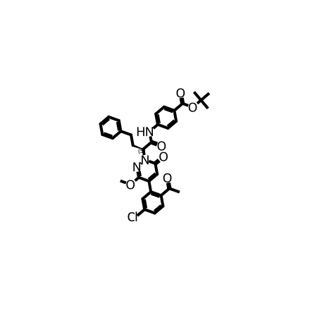 COc1nn([C@@H](CCc2ccccc2)C(=O)Nc2ccc(C(=O)OC(C)(C)C)cc2)c(=O)cc1-c1cc(Cl)ccc1C(C)=O